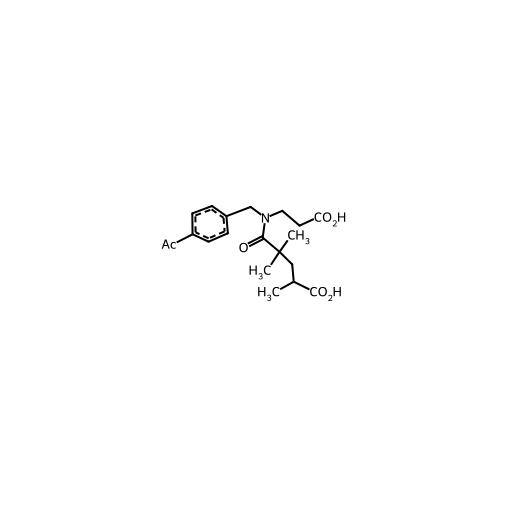 CC(=O)c1ccc(CN(CCC(=O)O)C(=O)C(C)(C)CC(C)C(=O)O)cc1